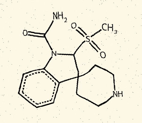 CS(=O)(=O)C1N(C(N)=O)c2ccccc2C12CCNCC2